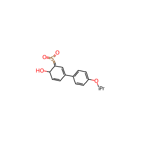 CC(C)Oc1ccc(C2=CC(=S(=O)=O)C(O)C=C2)cc1